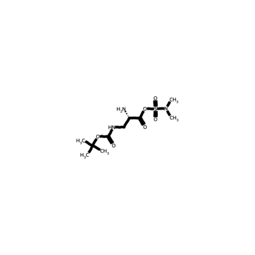 CN(C)S(=O)(=O)OC(=O)[C@@H](N)CNC(=O)OC(C)(C)C